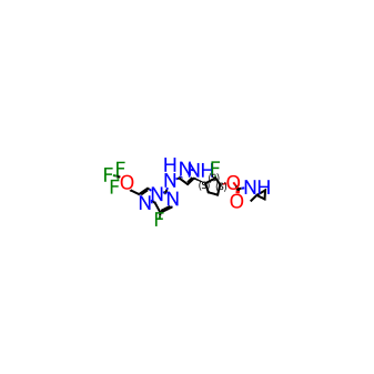 CC1(NC(=O)O[C@H]2CC[C@@H](c3cc(Nc4ncc(F)c5nc(COC(F)(F)F)cn45)n[nH]3)[C@@H]2F)CC1